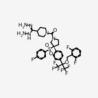 N/N=C(\NN)C1CCN(C(=O)N2CC[C@](c3ccc(C(OCc4c(F)cccc4F)(C(F)(F)F)C(F)(F)F)cc3)(S(=O)(=O)c3ccc(F)cc3)C2)CC1